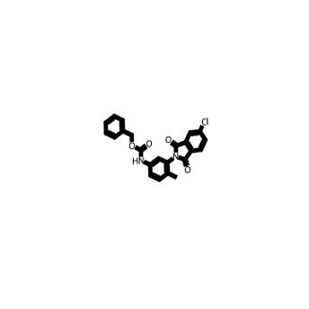 Cc1ccc(NC(=O)OCc2ccccc2)cc1N1C(=O)c2ccc(Cl)cc2C1=O